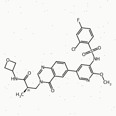 COc1ncc(-c2ccc3ncn(C[C@@H](C)C(=O)NC4COC4)c(=O)c3c2)cc1NS(=O)(=O)c1ccc(F)cc1Cl